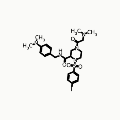 CN(C)CC(=O)N1CCN(S(=O)(=O)c2ccc(I)cc2)C(C(=O)NCc2ccc(N(C)C)cc2)C1